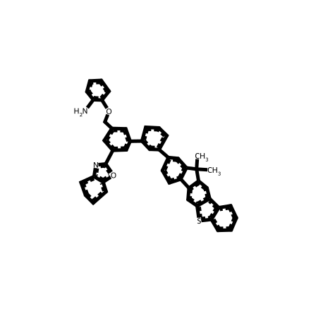 CC1(C)c2cc(-c3cccc(-c4cc(COc5ccccc5N)cc(-c5nc6ccccc6o5)c4)c3)ccc2-c2cc3sc4ccccc4c3cc21